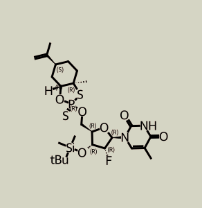 C=C(C)[C@H]1CC[C@@]2(C)S[P@](=S)(OC[C@H]3O[C@@H](n4cc(C)c(=O)[nH]c4=O)[C@H](F)[C@@H]3O[Si](C)(C)C(C)(C)C)O[C@@H]2C1